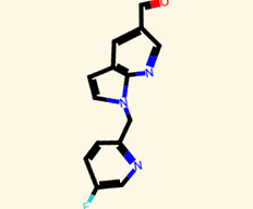 O=Cc1cnc2c(ccn2Cc2ccc(F)cn2)c1